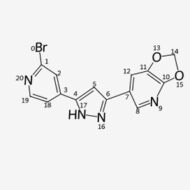 Brc1cc(-c2cc(-c3cnc4c(c3)OCO4)n[nH]2)ccn1